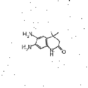 CC1(C)CC(=O)Nc2cc(N)c(N)cc21